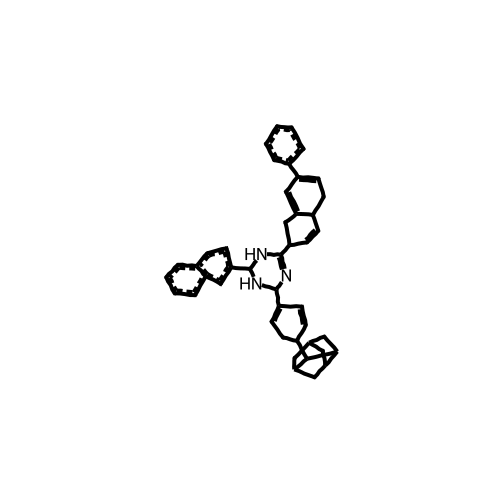 C1=CC(C2C3CC4CC(C3)C2C4)CC=C1C1N=C(C2C=CC3CC=C(c4ccccc4)C=C3C2)NC(c2ccc3ccccc3c2)N1